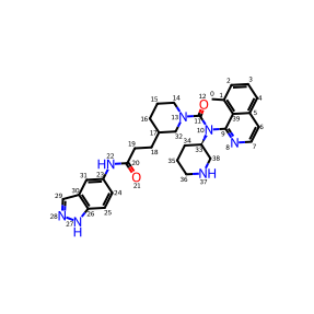 Cc1cccc2ccnc(N(C(=O)N3CCCC(CCC(=O)Nc4ccc5[nH]ncc5c4)C3)[C@@H]3CCCNC3)c12